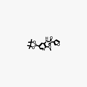 COc1ncc(B2OC(C)(C)C(C)(C)O2)cc1NS(=O)(=O)c1ccoc1